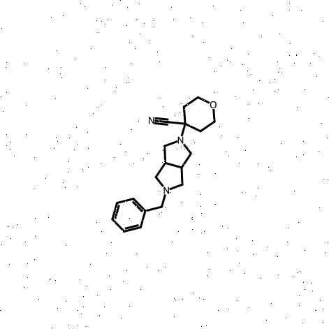 N#CC1(N2CC3CN(Cc4ccccc4)CC3C2)CCOCC1